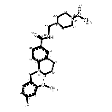 COc1cc(F)ccc1CN1CCCc2cc(C(=O)NCC3CCN([S+](C)[O-])CC3)ccc21